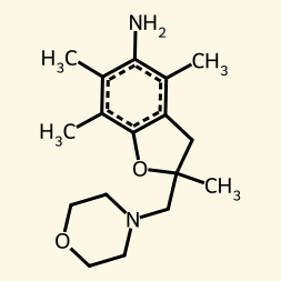 Cc1c(C)c2c(c(C)c1N)CC(C)(CN1CCOCC1)O2